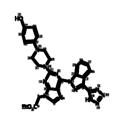 CCOC(=O)Cn1cnc2c(-n3nc(-c4nnn[nH]4)c4ccccc43)nc(N3CCN(c4ccc(O)cc4)CC3)nc21